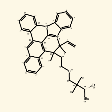 C=CC1(C)[n+]2c3ccccc3n3c4ccccc4c4cc5ccccc5c(c4c32)C1(C)CCOCC(C)(C)[C@H](CC)C(C)CC